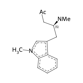 CN[C@H](CC(C)=O)Cc1cn(C)c2ccccc12